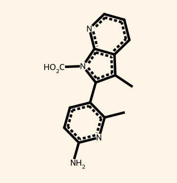 Cc1nc(N)ccc1-c1c(C)c2cccnc2n1C(=O)O